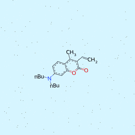 C=Cc1c(C)c2ccc(N(CCCC)CCCC)cc2oc1=O